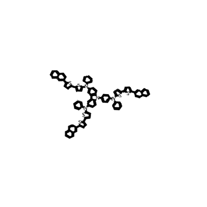 c1ccc(N(c2ccc(-n3c4ccc(N(c5ccccc5)c5ccc(-c6ccc(-c7ccc8ccccc8c7)s6)s5)cc4c4cc(N(c5ccccc5)c5ccc(-c6ccc(-c7ccc8ccccc8c7)s6)s5)ccc43)cc2)c2ccc(-c3ccc(-c4ccc5ccccc5c4)s3)s2)cc1